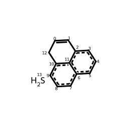 C1=Cc2cccc3cccc(c23)C1.S